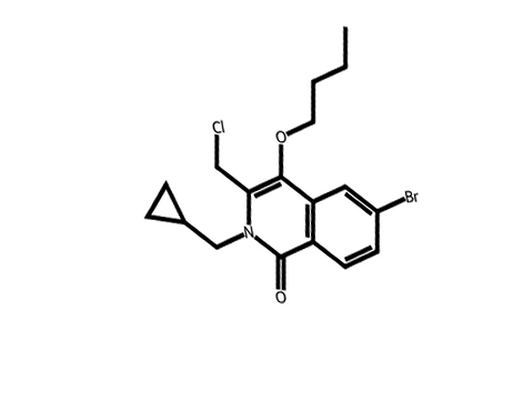 CCCCOc1c(CCl)n(CC2CC2)c(=O)c2ccc(Br)cc12